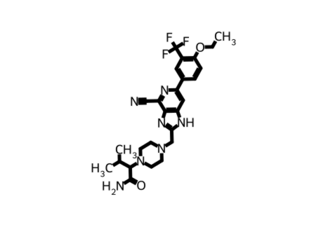 CCOc1ccc(-c2cc3[nH]c(CN4CCN(C(C(N)=O)C(C)C)CC4)nc3c(C#N)n2)cc1C(F)(F)F